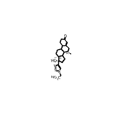 C[C@@H]1CC2=CC(=O)CCC2C2CC[C@@]3(C)C(CC[C@@]3(O)c3cn(CC(=O)O)nn3)C21